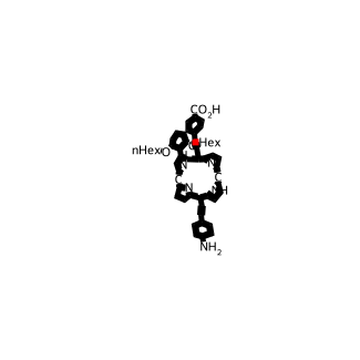 CCCCCCOc1cccc(OCCCCCC)c1-c1cc2cc3nc(c(C#Cc4ccc(N)cc4)c4ccc(cc5nc(c(C#Cc6ccc(C(=O)O)cc6)c1[nH]2)C=C5)[nH]4)C=C3